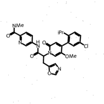 CNC(=O)c1ccc(NC(=O)C(Cc2cnco2)n2cc(OC)c(-c3cc(Cl)ccc3C(C)C)cc2=O)cn1